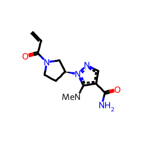 C=CC(=O)N1CC[C@H](n2ncc(C(N)=O)c2NC)C1